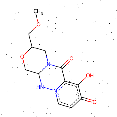 COCC1CN2C(=O)c3c(O)c(=O)ccn3NC2CO1